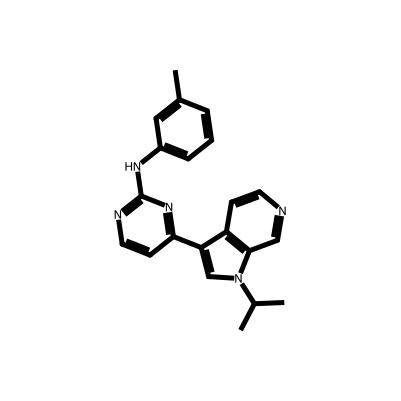 Cc1cccc(Nc2nccc(-c3cn(C(C)C)c4cnccc34)n2)c1